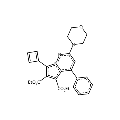 CCOC(=O)c1c(C(=O)OCC)c2c(-c3ccccc3)cc(N3CCOCC3)nn2c1C1=CC=C1